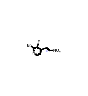 O=[N+]([O-])/C=C/c1ccnc(Br)c1F